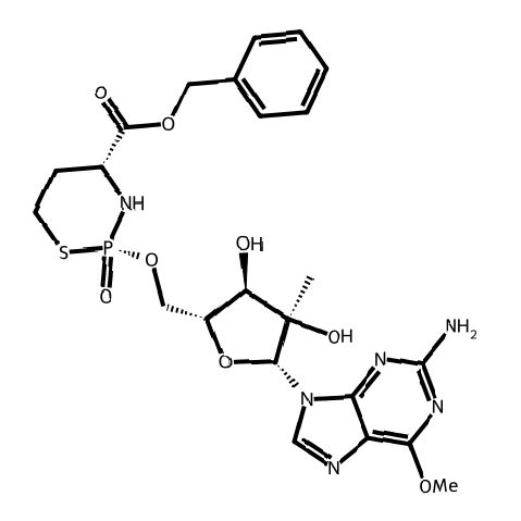 COc1nc(N)nc2c1ncn2[C@@H]1O[C@H](CO[P@@]2(=O)N[C@@H](C(=O)OCc3ccccc3)CCS2)[C@@H](O)[C@@]1(C)O